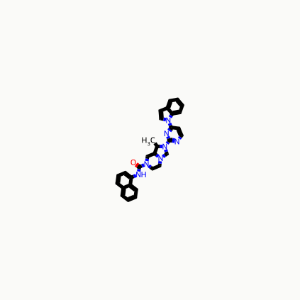 CC1C2CN(C(=O)Nc3cccc4ccccc34)CCN2CN1c1nccc(-n2ccc3ccccc32)n1